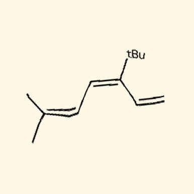 C=C/C(=C\C=C(C)C)C(C)(C)C